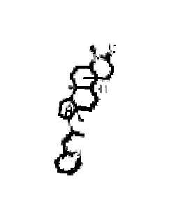 C/C(=C\c1ccccn1)[C@H]1CC[C@H]2[C@@H]3CCC4N(C)C(=O)CC[C@]4(C)[C@H]3CC[C@]12C